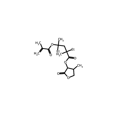 C=C(C)C(=O)OC(C)(CC)CC(C)(CC)C(=O)OC1C(=O)OCC1C